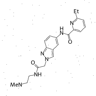 CCc1cccc(C(=O)Nc2ccc3nn(CC(=O)NCCNC)cc3c2)n1